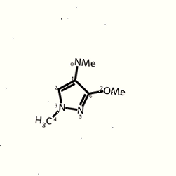 CNc1cn(C)nc1OC